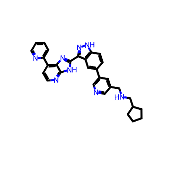 c1ccc(-c2ccnc3[nH]c(-c4n[nH]c5ccc(-c6cncc(CNCC7CCCC7)c6)cc45)nc23)nc1